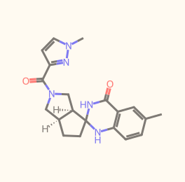 Cc1ccc2c(c1)C(=O)NC1(CC[C@H]3CN(C(=O)c4ccn(C)n4)C[C@H]31)N2